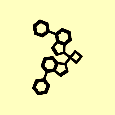 C1=CC(C2(C3C=Cc4c(-c5ccccc5)cccc43)CCC2)c2cccc(-c3ccccc3)c21